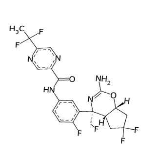 CC(F)(F)c1cnc(C(=O)Nc2ccc(F)c([C@@]3(CF)N=C(N)O[C@@H]4CC(F)(F)C[C@@H]43)c2)cn1